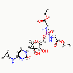 CCOC(=O)CNP(=O)(NCC(=O)OCC)OC[C@H]1OC2(C)[C@@H](n3ccc(NC4CC4)nc3=O)C2(O)C1O